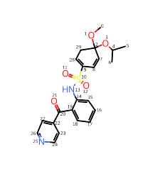 COC1(OC(C)C)C=CC(S(=O)(=O)Nc2ccccc2C(=O)c2ccncc2)=CC1